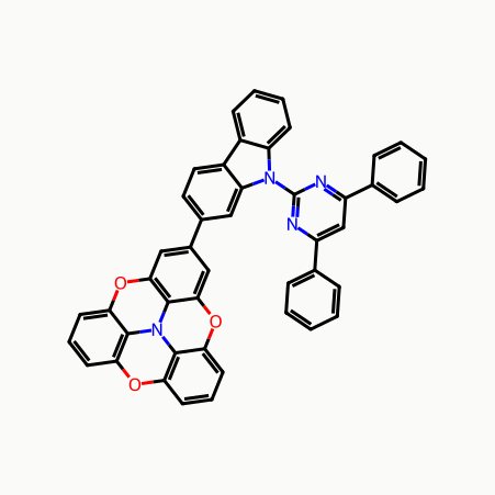 c1ccc(-c2cc(-c3ccccc3)nc(-n3c4ccccc4c4ccc(-c5cc6c7c(c5)Oc5cccc8c5N7c5c(cccc5O6)O8)cc43)n2)cc1